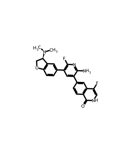 CN(C)[C@@H]1COc2ccc(-c3cc(-c4ccc5c(=O)[nH]cc(F)c5c4)c(N)nc3F)cc21